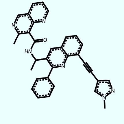 Cc1ncc2cccnc2c1C(=O)NC(C)c1cc2cccc(C#Cc3cnn(C)c3)c2nc1-c1ccccc1